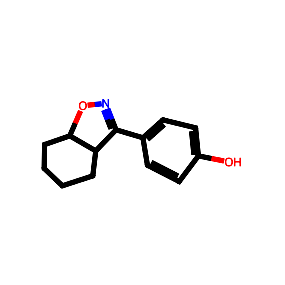 Oc1ccc(C2=NOC3CCCCC23)cc1